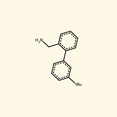 CC(C)(C)c1cccc(-c2ccccc2CN)c1